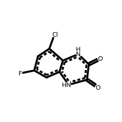 O=c1[nH]c2cc(F)cc(Cl)c2[nH]c1=O